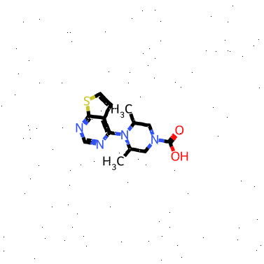 CC1CN(C(=O)O)CC(C)N1c1ncnc2sccc12